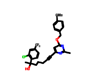 COc1ccc(COc2cc(C#CCCCC(C)(O)c3ccc(C(F)(F)F)cc3Cl)nc(C)n2)cc1